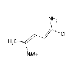 CN/C(C)=C\C=C(/N)Cl